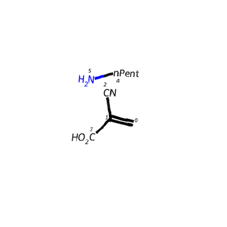 C=C(C#N)C(=O)O.CCCCCN